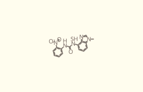 Cn1cnc2c(N(S)C(=O)Nc3ccccc3[N+](=O)[O-])cccc21